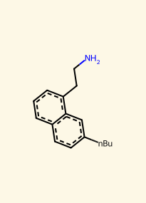 CCCCc1ccc2cccc(CCN)c2c1